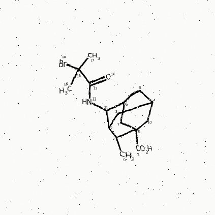 CC1C2CC3CC(CC1(C(=O)O)C3)C2NC(=O)C(C)(C)Br